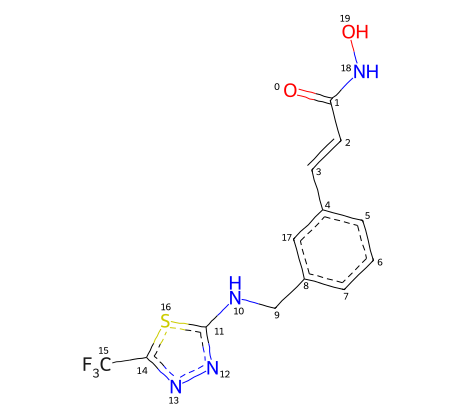 O=C(/C=C/c1cccc(CNc2nnc(C(F)(F)F)s2)c1)NO